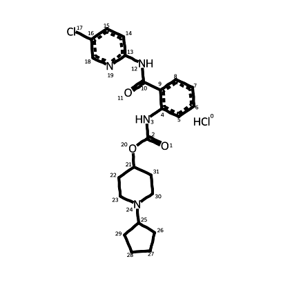 Cl.O=C(Nc1ccccc1C(=O)Nc1ccc(Cl)cn1)OC1CCN(C2CCCC2)CC1